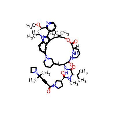 CCn1c(-c2cccnc2[C@H](C)OC)c2c3cc(ccc31)N1CCC[C@@H](C[C@H](NC(=O)[C@H](C(C)C)N(C)C(=O)[C@H]3CCN(C(=O)C#CC(C)(C)N4CCC4)C3)C(=O)N3CCC[C@H](N3)C(=O)OCC(C)(C)C2)C1